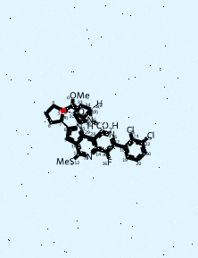 COC(=O)N1CCC[C@@H]1c1cc2c(SC)nc3c(F)c(-c4cccc(Cl)c4Cl)ncc3c2n1[C@H]1[C@@H]2C[C@H]1N(C(=O)O)C2